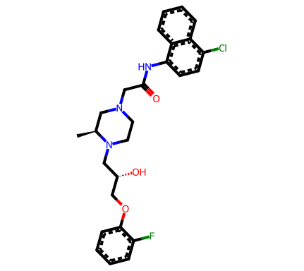 C[C@H]1CN(CC(=O)Nc2ccc(Cl)c3ccccc23)CCN1C[C@H](O)COc1ccccc1F